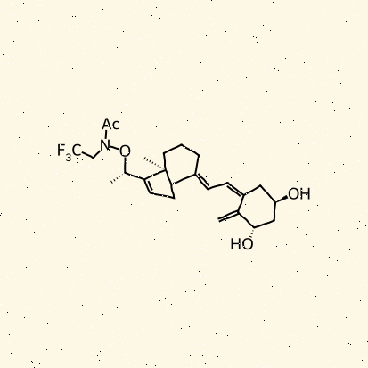 C=C1C(=CC=C2CCC[C@]3(C)C([C@H](C)ON(CC(F)(F)F)C(C)=O)=CCC23)C[C@@H](O)C[C@@H]1O